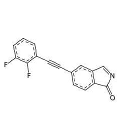 O=C1N=Cc2cc(C#Cc3cccc(F)c3F)ccc21